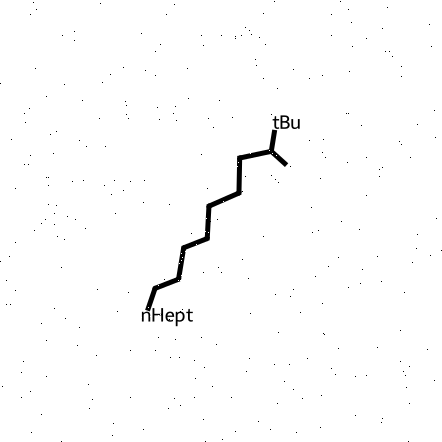 CCCCCCCCCCCCCCC(C)C(C)(C)C